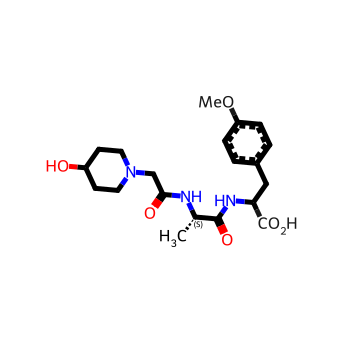 COc1ccc(CC(NC(=O)[C@H](C)NC(=O)CN2CCC(O)CC2)C(=O)O)cc1